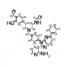 Nc1ncccc1-c1nc2ccc(-c3ccccc3)nc2n1-c1ccc(CN(CCNC=O)CCc2ccc(C=O)c(O)c2)cc1